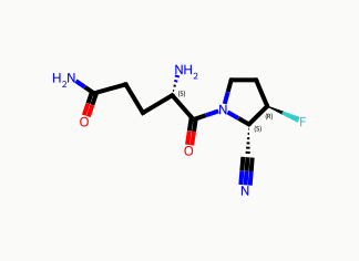 N#C[C@H]1[C@H](F)CCN1C(=O)[C@@H](N)CCC(N)=O